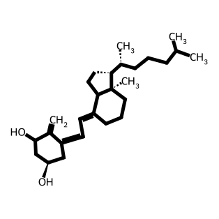 C=C1/C(=C\C=C2CCC[C@@]3(C)C2CC[C@@H]3[C@H](C)CCCC(C)C)C[C@@H](O)CC1O